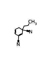 CCCC1(C#N)C=C(C#N)C=CC1